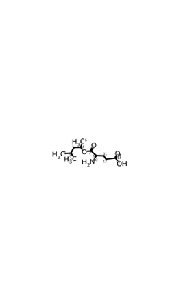 CC(C)CC(C)OC(=O)C(N)CCC(=O)O